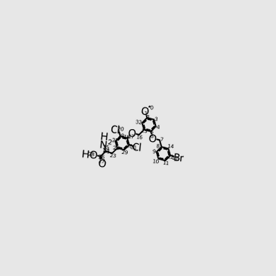 COc1ccc(OCc2cccc(Br)c2)c(COc2c(Cl)cc(C[C@H](N)C(=O)O)cc2Cl)c1